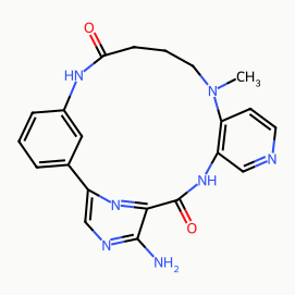 CN1CCCC(=O)Nc2cccc(c2)-c2cnc(N)c(n2)C(=O)Nc2cnccc21